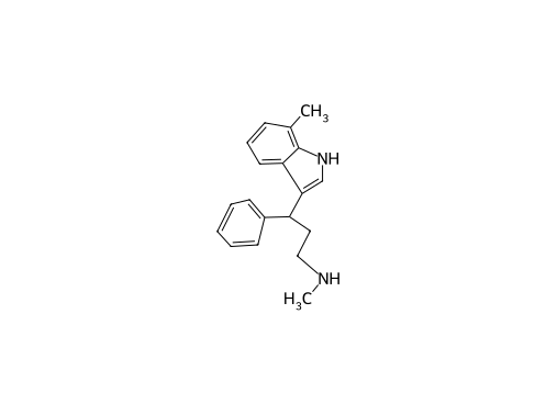 CNCCC(c1ccccc1)c1c[nH]c2c(C)cccc12